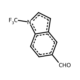 O=Cc1ccc2c(ccn2C(F)(F)F)c1